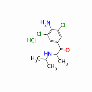 CC(C)NC(C)C(=O)c1cc(Cl)c(N)c(Cl)c1.Cl